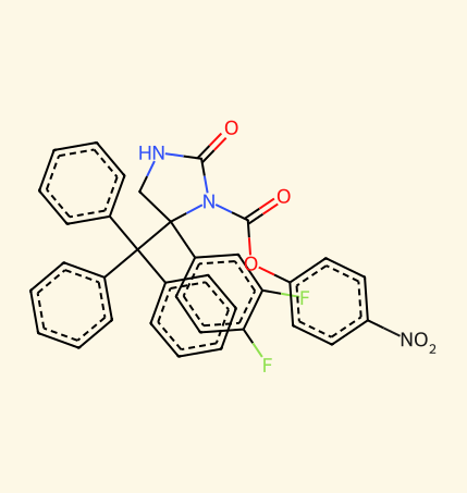 O=C1NCC(c2ccc(F)c(F)c2)(C(c2ccccc2)(c2ccccc2)c2ccccc2)N1C(=O)Oc1ccc([N+](=O)[O-])cc1